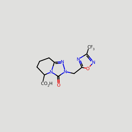 O=C(O)C1CCCc2nn(Cc3nc(C(F)(F)F)no3)c(=O)n21